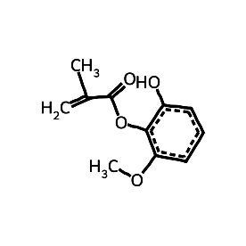 C=C(C)C(=O)Oc1c(O)cccc1OC